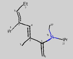 C=C(/C(C)=C/C(=C\CC)C(C)C)N(C)C(C)C